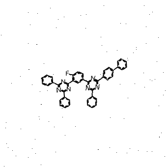 Fc1ccc(-c2nc(-c3ccccc3)nc(-c3ccc(-c4ccccc4)cc3)n2)cc1-c1nc(-c2ccccc2)nc(-c2ccccc2)n1